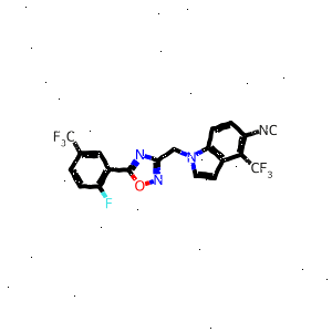 [C-]#[N+]c1ccc2c(ccn2Cc2noc(-c3cc(C(F)(F)F)ccc3F)n2)c1C(F)(F)F